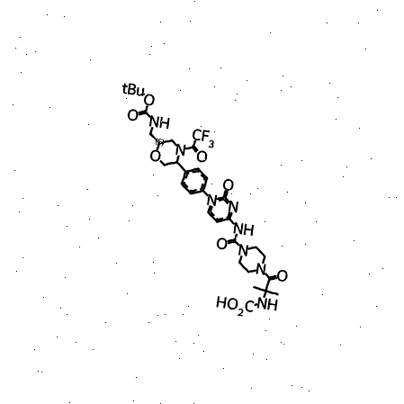 CC(C)(C)OC(=O)NC[C@H]1CN(C(=O)C(F)(F)F)C(c2ccc(-n3ccc(NC(=O)N4CCN(C(=O)C(C)(C)NC(=O)O)CC4)nc3=O)cc2)CO1